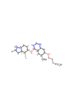 CCOC(=O)CCCOc1cc2ncnc(Oc3ccc4[nH]c(C)cc4c3F)c2cc1OC